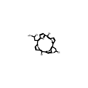 CCCC(CC)CC1=C2C=CC(=N2)C(Br)=C2C=CC(=N2)C(CC(CC)CCC)=C2C=CC(=N2)C(Br)=C2C=CC1=N2